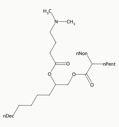 CCCCCCCCCCCCCCC(COC(=O)C(CCCCC)CCCCCCCCC)OC(=O)CCCN(C)C